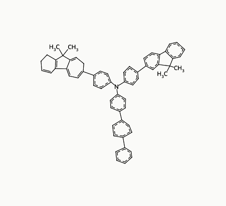 CC1(C)C2=CCC(c3ccc(N(c4ccc(-c5ccc(-c6ccccc6)cc5)cc4)c4ccc(-c5ccc6c(c5)C(C)(C)c5ccccc5-6)cc4)cc3)=CC=C2C2=C1CCC=C2